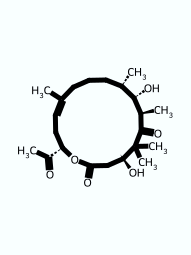 CC(=O)[C@@H]1CC=C(C)CCC[C@H](C)[C@H](O)[C@@H](C)C(=O)C(C)(C)[C@@H](O)CC(=O)O1